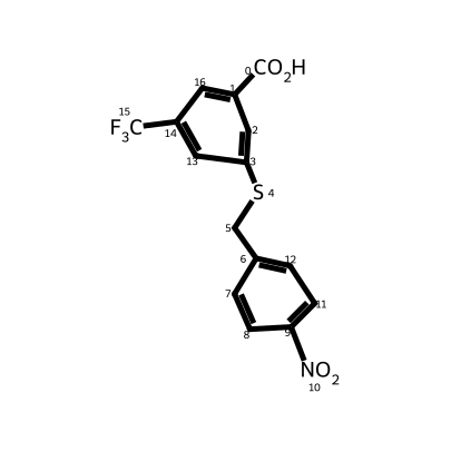 O=C(O)c1cc(SCc2ccc([N+](=O)[O-])cc2)cc(C(F)(F)F)c1